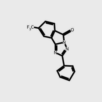 O=C1c2ccc(C(F)(F)F)cc2-c2nc(-c3ccccc3)nn21